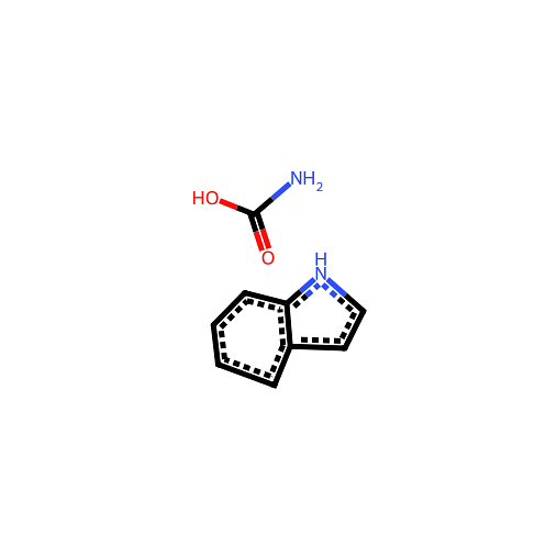 NC(=O)O.c1ccc2[nH]ccc2c1